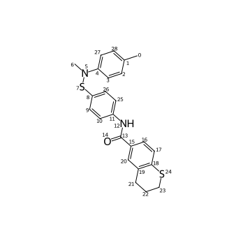 Cc1ccc(N(C)Sc2ccc(NC(=O)c3ccc4c(c3)CCCS4)cc2)cc1